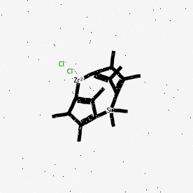 CC1=[C]2[Zr+2][C]3=C(C)C(=C(C)C3C)[Si](C)(C)C1=C(C)C2C.[Cl-].[Cl-]